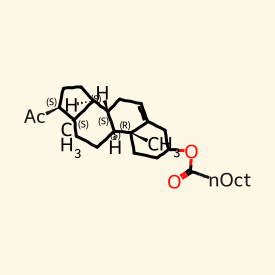 CCCCCCCCC(=O)OC1CC[C@@]2(C)C(=CC[C@H]3[C@@H]4CC[C@H](C(C)=O)[C@@]4(C)CC[C@@H]32)C1